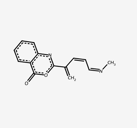 C=C(/C=C\C=N/C)c1nc2ccccc2c(=O)o1